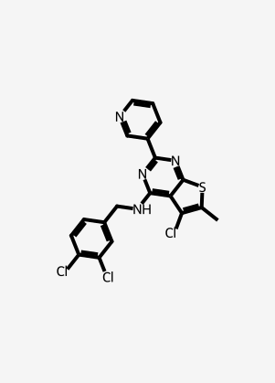 Cc1sc2nc(-c3cccnc3)nc(NCc3ccc(Cl)c(Cl)c3)c2c1Cl